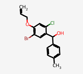 C=CCOc1cc(Cl)c(C(O)c2ccc(C)cc2)cc1Br